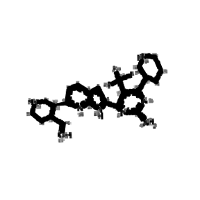 Nc1nc(-c2cc3ccc([C@@H]4CNCCC4CO)nc3[nH]2)c(C(F)(F)F)c(C2CCCNC2)n1